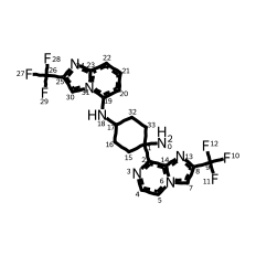 NC1(c2nccn3cc(C(F)(F)F)nc23)CCC(Nc2cccc3nc(C(F)(F)F)cn23)CC1